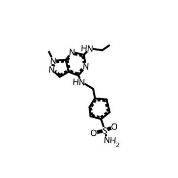 CCNc1nc(NCc2ccc(S(N)(=O)=O)cc2)c2cnn(C)c2n1